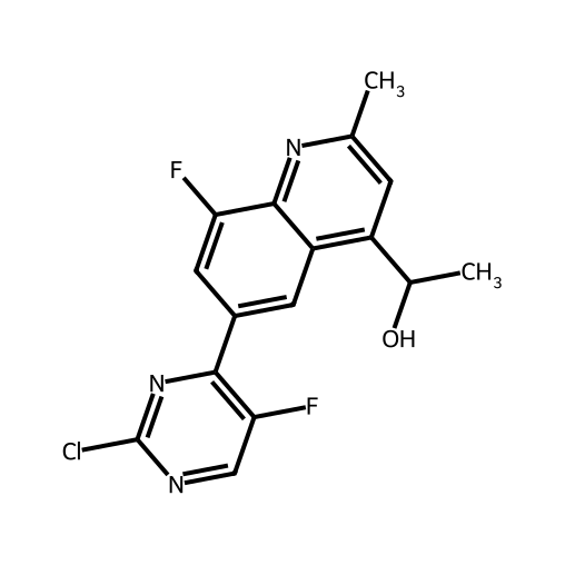 Cc1cc(C(C)O)c2cc(-c3nc(Cl)ncc3F)cc(F)c2n1